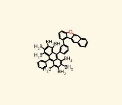 Bc1c(B)c(B)c2c(-c3cccc(-c4cccc5oc6cc7ccccc7cc6c45)c3)c3c(B)c(B)c(B)c(B)c3c(-c3ccccc3)c2c1B